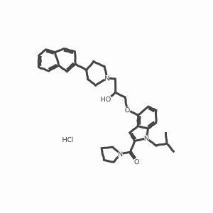 CC(C)Cn1c(C(=O)N2CCCC2)cc2c(OCC(O)CN3CCC(c4ccc5ccccc5c4)CC3)cccc21.Cl